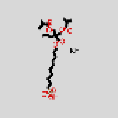 C=C(C)C(=O)OCC(CCC)(COC(=O)C(=C)C)C(=O)OCCCCCCCCCCS(=O)(=O)O.[KH]